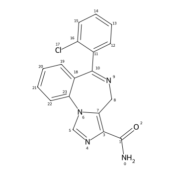 NC(=O)c1ncn2c1CN=C(c1ccccc1Cl)c1ccccc1-2